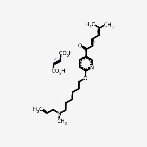 C=CCN(C)CCCCCCOc1ccc(C(=O)/C=C/C=C(C)C)cn1.O=C(O)/C=C/C(=O)O